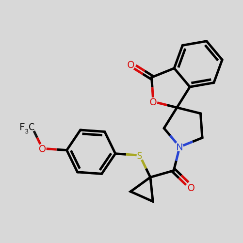 O=C1OC2(CCN(C(=O)C3(Sc4ccc(OC(F)(F)F)cc4)CC3)C2)c2ccccc21